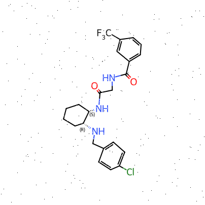 O=C(CNC(=O)c1cccc(C(F)(F)F)c1)N[C@H]1CCCC[C@H]1NCc1ccc(Cl)cc1